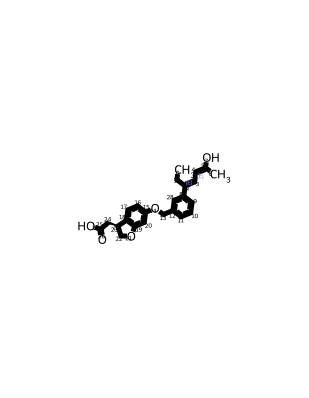 CC/C(=C\C=C(/C)O)c1cccc(COc2ccc3c(c2)OC[C@H]3CC(=O)O)c1